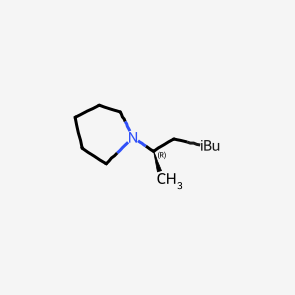 CCC(C)C[C@@H](C)N1CCCCC1